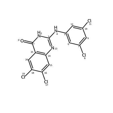 O=c1[nH]c(Nc2cc(Cl)cc(Cl)c2)nc2cc(Cl)c(Cl)cc12